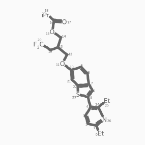 CCc1ccc(-c2cc3ccc(OCC(COC(=O)C(C)C)CC(F)(F)F)cc3s2)c(CC)n1